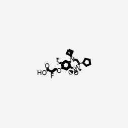 CSc1cc2c(cc1O/C=C(\F)C(=O)O)S(=O)(=O)N(C)[C@H](C1CCCC1)CN2C12CC(C1)C2